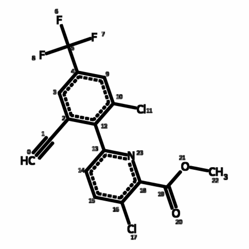 C#Cc1cc(C(F)(F)F)cc(Cl)c1-c1ccc(Cl)c(C(=O)OC)n1